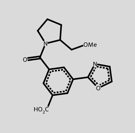 COCC1CCCN1C(=O)c1cc(C(=O)O)cc(-c2ncco2)c1